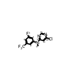 CN(c1cc(F)cc(C(F)(F)F)c1)c1cc(Cl)ncn1